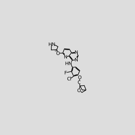 Fc1c(Nc2ncnc3ccc(O[C@H]4CCNC4)nc23)ccc(OCC23CC(CO2)C3)c1Cl